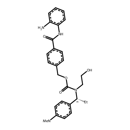 CC[C@H](c1ccc(NC)cc1)N(CCO)C(=O)OCc1ccc(C(=O)Nc2ccccc2N)cc1